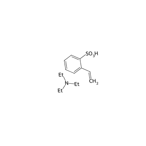 C=Cc1ccccc1S(=O)(=O)O.CCN(CC)CC